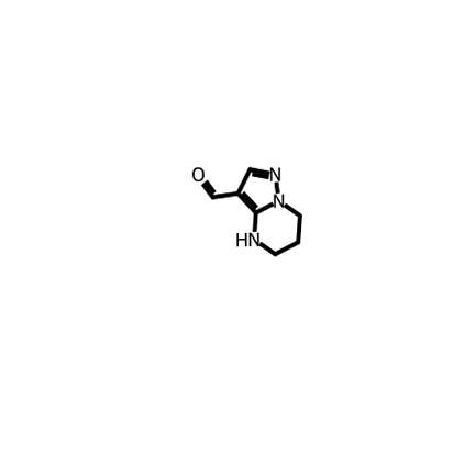 O=Cc1cnn2c1NCCC2